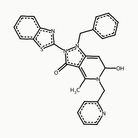 CC1=c2c(n(Cc3ccccc3)n(-c3nc4ccccc4s3)c2=O)=CC(O)N1Cc1ccccn1